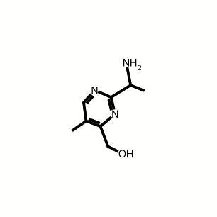 Cc1cnc(C(C)N)nc1CO